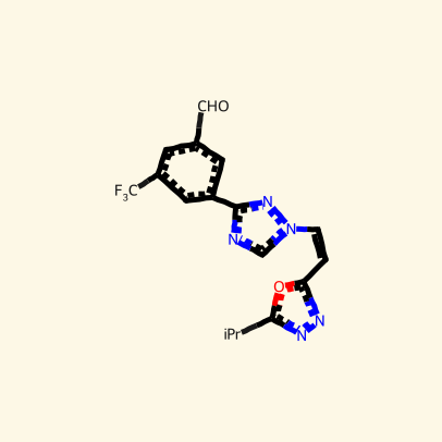 CC(C)c1nnc(/C=C\n2cnc(-c3cc(C=O)cc(C(F)(F)F)c3)n2)o1